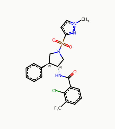 Cn1ccc(S(=O)(=O)N2C[C@H](NC(=O)c3cccc(C(F)(F)F)c3Cl)[C@@H](c3ccccc3)C2)n1